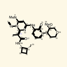 C=NN1C(NC)=CC(Nc2cccn([C@@H]3CCOC[C@@H]3OC)c2=O)=N/C1=C(/C)C(=O)N[C@H]1CC[C@H]1F